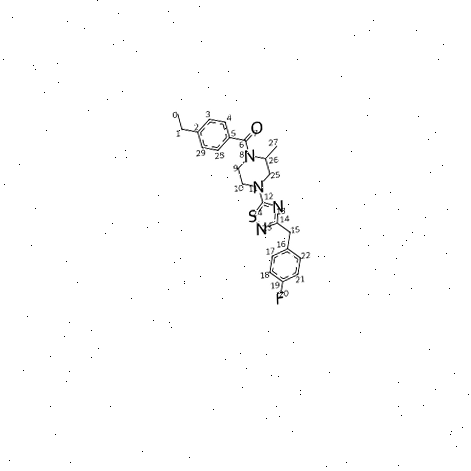 CCc1ccc(C(=O)N2CCN(c3nc(Cc4ccc(F)cc4)ns3)CC2C)cc1